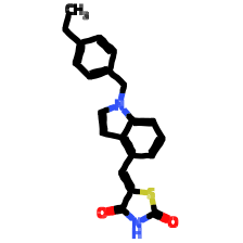 CCc1ccc(Cn2ccc3c(/C=C4\SC(=O)NC4=O)cccc32)cc1